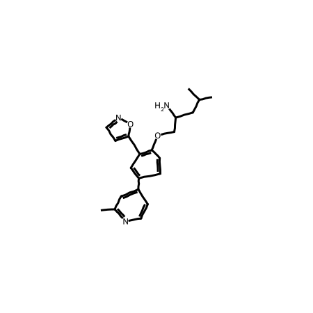 Cc1cc(-c2ccc(OCC(N)CC(C)C)c(-c3ccno3)c2)ccn1